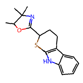 CC1OC(C2CCc3c([nH]c4ccccc34)S2)=NC1(C)C